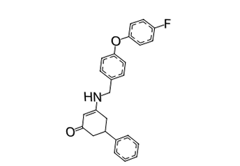 O=C1C=C(NCc2ccc(Oc3ccc(F)cc3)cc2)CC(c2ccccc2)C1